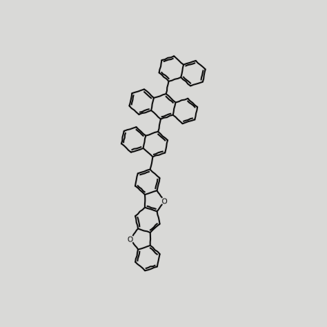 c1ccc2c(-c3c4ccccc4c(-c4ccc(-c5ccc6c(c5)oc5cc7c(cc56)oc5ccccc57)c5ccccc45)c4ccccc34)cccc2c1